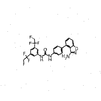 Nc1noc2cccc(-c3ccc(NC(=O)Nc4cc(C(F)(F)CF)cc(C(F)(F)CF)c4)cc3)c12